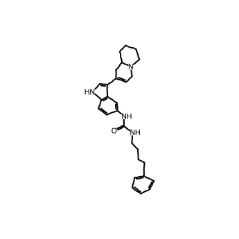 O=C(NCCCCc1ccccc1)Nc1ccc2[nH]cc(C3=CCN4CCCCC4C3)c2c1